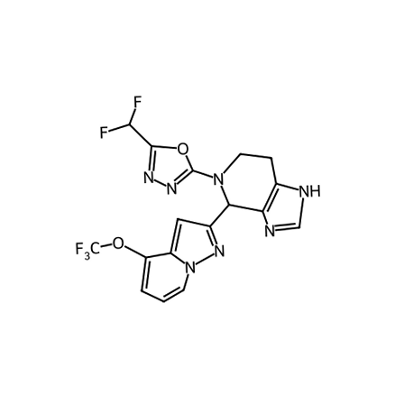 FC(F)c1nnc(N2CCc3[nH]cnc3C2c2cc3c(OC(F)(F)F)cccn3n2)o1